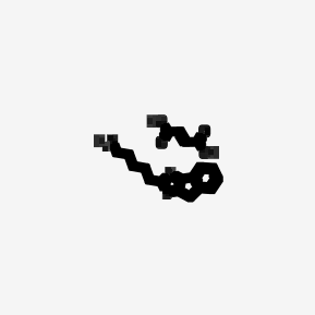 NCCCCCc1nc2c(s1)Cc1ccccc1-2.O=C(O)/C=C/C(=O)O